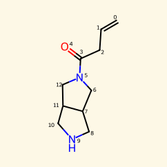 C=CCC(=O)N1CC2CNCC2C1